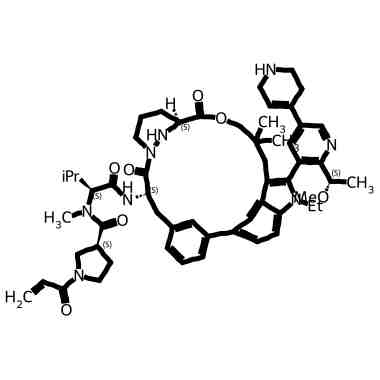 C=CC(=O)N1CC[C@H](C(=O)N(C)[C@H](C(=O)N[C@H]2Cc3cccc(c3)-c3ccc4c(c3)c(c(-c3cc(C5=CCNCC5)cnc3[C@H](C)OC)n4CC)CC(C)(C)COC(=O)[C@@H]3CCCN(N3)C2=O)C(C)C)C1